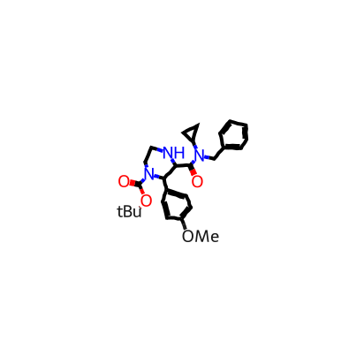 COc1ccc(C2C(C(=O)N(Cc3ccccc3)C3CC3)NCCN2C(=O)OC(C)(C)C)cc1